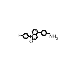 NCc1ccc(-c2cccc3c2ccc(=O)n3-c2ccc(F)cc2)cc1